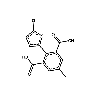 Cc1cc(C(=O)O)c(-c2ccc(Cl)s2)c(C(=O)O)c1